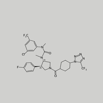 CN(C(=O)N(C)[C@@H]1CN(C(=O)C2CCC(n3nnnc3C(F)(F)F)CC2)C[C@H]1c1ccc(F)cc1)c1cc(Cl)cc(C(F)(F)F)c1